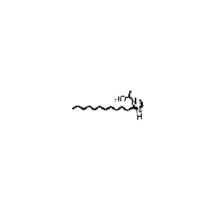 CCCCCCCCCCCc1[nH]cc[n+]1C(C)O